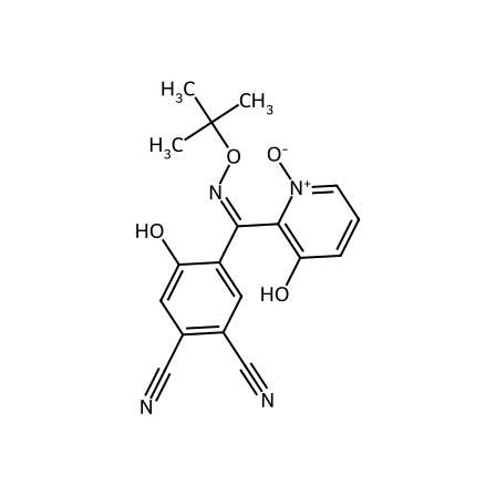 CC(C)(C)ON=C(c1cc(C#N)c(C#N)cc1O)c1c(O)ccc[n+]1[O-]